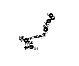 Cc1ncsc1-c1ccc(CNC(=O)[C@@H]2C[C@@H](O)CN2C(=O)CC(C)(C)C)c(OCCOCCOCCC(=O)N2CC(Oc3ccc(NC(=O)[C@H](C)C4=CCC(c5ccnc6ccc(F)cc56)CC4)cc3)C2)c1